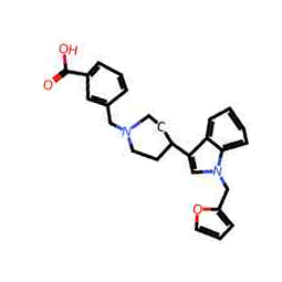 O=C(O)c1cccc(CN2CCC(c3cn(Cc4ccco4)c4ccccc34)CC2)c1